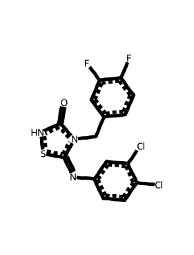 O=c1[nH]sc(=Nc2ccc(Cl)c(Cl)c2)n1Cc1ccc(F)c(F)c1